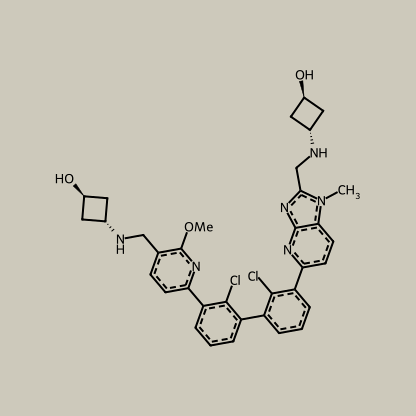 COc1nc(-c2cccc(-c3cccc(-c4ccc5c(n4)nc(CN[C@H]4C[C@H](O)C4)n5C)c3Cl)c2Cl)ccc1CN[C@H]1C[C@H](O)C1